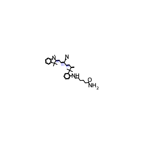 C=C(/C=C/C(C#N)=C/C=C1/N(C)c2ccccc2C1(C)C)C(C)(C)c1ccccc1NCCCCCC(N)=O